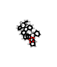 c1ccc(-c2ccccc2N(c2cccc3c2-c2c(ccc4ccccc24)C32c3ccccc3Oc3ccccc32)c2cccc3c2oc2ccccc23)cc1